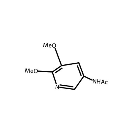 COc1cc(NC(C)=O)cnc1OC